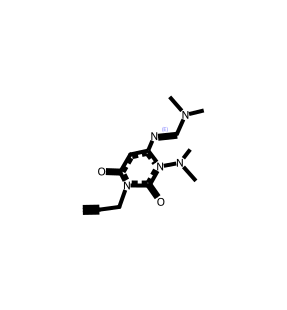 C#CCn1c(=O)cc(/N=C/N(C)C)n(N(C)C)c1=O